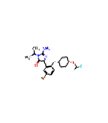 CC(C)N1C(=O)C(c2cc(Br)ccc2C[C@H]2CC[C@@H](OC(F)F)CC2)N=C1N